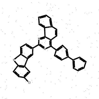 Clc1ccc2sc3ccc(-c4nc(-c5ccc(-c6ccccc6)cc5)c5ccc6ccccc6c5n4)cc3c2c1